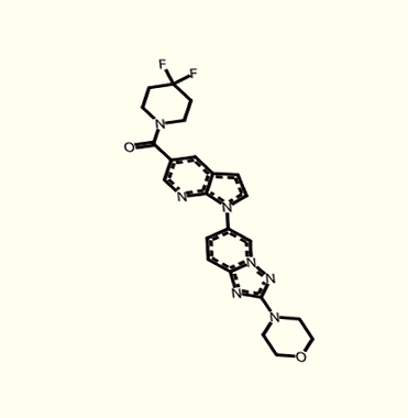 O=C(c1cnc2c(ccn2-c2ccc3nc(N4CCOCC4)nn3c2)c1)N1CCC(F)(F)CC1